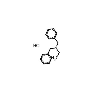 CCN(Cc1ccccc1)Cc1ccccc1.Cl